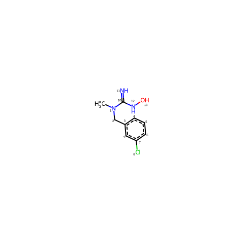 CN(Cc1cccc(Cl)c1)C(=N)NO